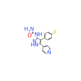 NC(=O)Nc1n[nH]c(-c2ccncc2)c1-c1ccc(F)cc1